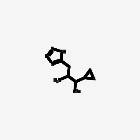 CCCCC(C(N)Cc1nnn[nH]1)C1CC1